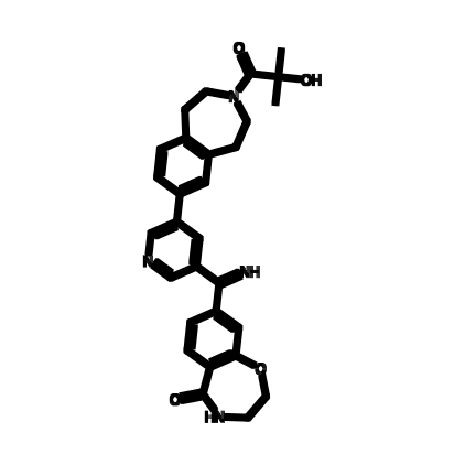 CC(C)(O)C(=O)N1CCc2ccc(-c3cncc(C(=N)c4ccc5c(c4)OCCNC5=O)c3)cc2CC1